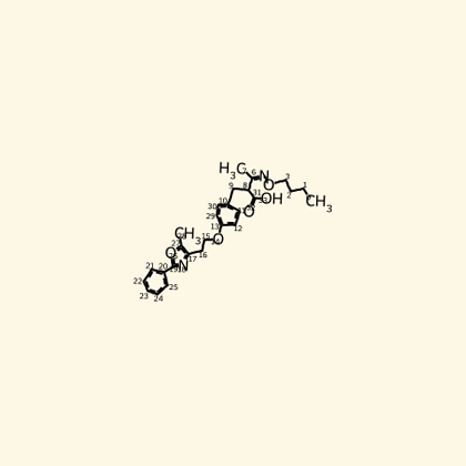 CCCCO/N=C(/C)C(Cc1ccc(OCCc2nc(-c3ccccc3)oc2C)cc1)C(=O)O